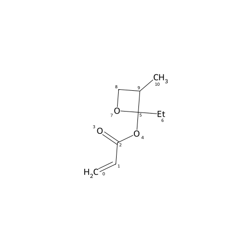 C=CC(=O)OC1(CC)OCC1C